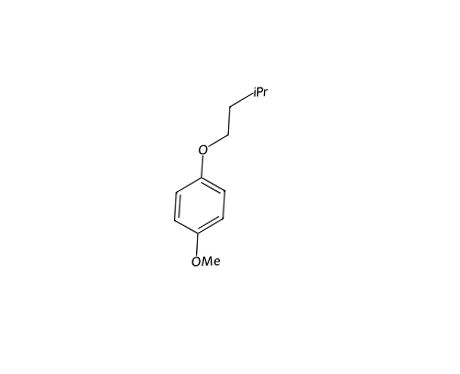 COc1ccc(OCCC(C)C)cc1